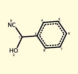 N#CC(O)c1c[c]ccc1